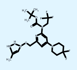 CC1=CN(SCc2cc(N3CCC(F)(F)CC3)cc(N(CC(F)(F)F)C(=O)OC(C)(C)C)n2)NN1